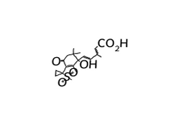 CC(C=CC1(O)C(C)=C(C2(S(C)(=O)=O)CC2)C(=O)CC1(C)C)=CC(=O)O